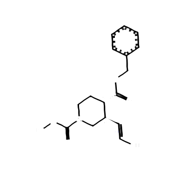 C/C=C/[C@H]1CN(C(=O)OC(C)(C)C)CC[C@@H]1C(=O)OCc1ccccc1